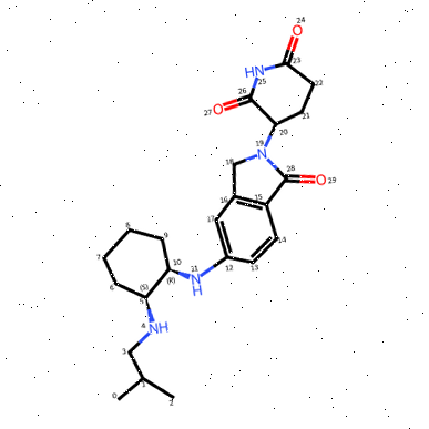 CC(C)CN[C@H]1CCCC[C@H]1Nc1ccc2c(c1)CN(C1CCC(=O)NC1=O)C2=O